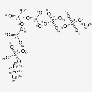 O=C([O-])[O-].O=C([O-])[O-].O=C([O-])[O-].O=S(=O)([O-])[O-].O=S(=O)([O-])[O-].O=S(=O)([O-])[O-].[Fe+3].[Fe+3].[La+3].[La+3]